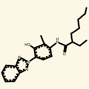 CCCCCC(CC)C(=O)Nc1ccc(-n2nc3ccccc3n2)c(O)c1C